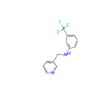 FC(F)(F)c1cccc(N[CH]c2cccnc2)c1